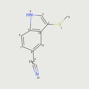 CSc1c[nH]c2ccc([13C]#N)cc12